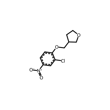 O=[N+]([O-])c1ccc(OCC2CCOC2)c(Cl)c1